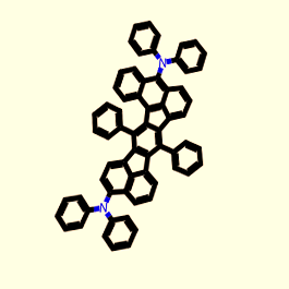 c1ccc(-c2c3c4cccc5c(N(c6ccccc6)c6ccccc6)ccc(c3c(-c3ccccc3)c3c2c2cccc6c(N(c7ccccc7)c7ccccc7)c7ccccc7c3c62)c54)cc1